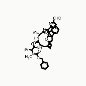 CC(C)C(C(=O)N[C@H]1Cc2ccc3c(c2)C2(c4ccccc4NC2O3)c2oc(nc2-c2nc(C=O)co2)[C@H](C(C)C)NC1=O)N(C)C(=O)OCc1ccccc1